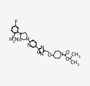 CC(C)OC(=O)N1CCC(OCc2noc(-c3ccc(N4CC[C@H](c5cc(F)ccc5F)[C@@H](N)C4)nc3)n2)CC1